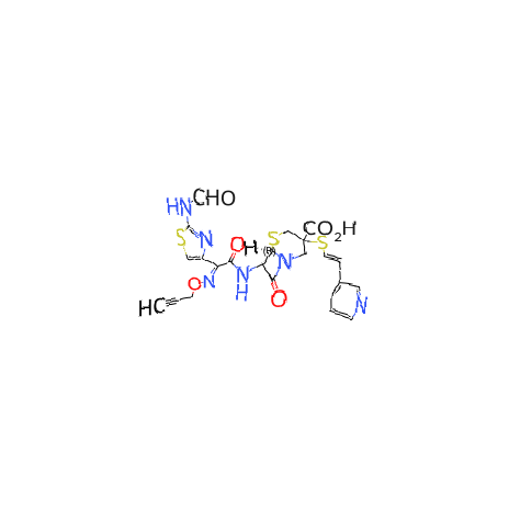 C#CCON=C(C(=O)NC1C(=O)N2CC(SC=Cc3cccnc3)(C(=O)O)CS[C@H]12)c1csc(NC=O)n1